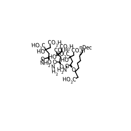 CCCCCCCCCCCCCCCCCC(=O)O.NOC(=O)CC(O)(CC(=O)O)C(=O)O.NOC(=O)CC(O)(CC(=O)O)C(=O)O.NOC(=O)CC(O)(CC(=O)O)C(=O)O